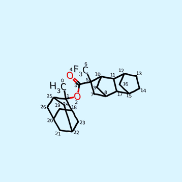 CC1(OC(=O)C2(C(F)(F)F)CC3CC2C2C4CCC(C4)C32)C2CC3CC(C2)CC1C3